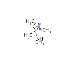 C=C(C)/C=C\C(=C/C)OC(CC)CCNC